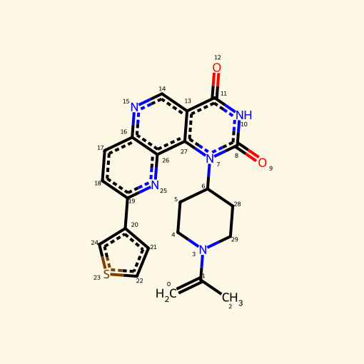 C=C(C)N1CCC(n2c(=O)[nH]c(=O)c3cnc4ccc(-c5ccsc5)nc4c32)CC1